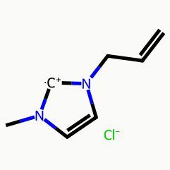 C=CCN1[C+]N(C)C=C1.[Cl-]